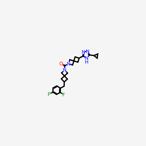 O=C(N1CC2(CC(Cc3ccc(F)cc3F)C2)C1)N1CC2(CC(c3nnc(C4CC4)[nH]3)C2)C1